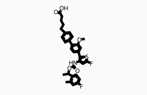 COc1cc(-c2sc(F)cc2NC(=O)OC(C)c2ccc(F)cc2C)ccc1-c1ccc(CCCCC(=O)O)cc1